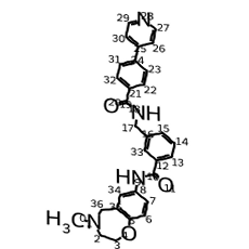 CN1CCOc2ccc(NC(=O)c3cccc(CNC(=O)c4ccc(-c5ccncc5)cc4)c3)cc2C1